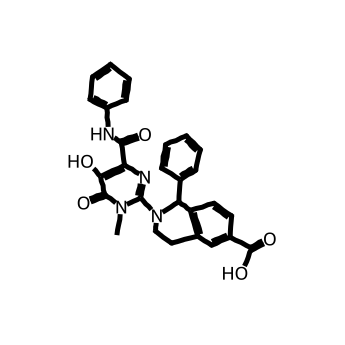 Cn1c(N2CCc3cc(C(=O)O)ccc3C2c2ccccc2)nc(C(=O)Nc2ccccc2)c(O)c1=O